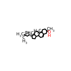 CC(C)(C)CC[C@H]1CCC2C3CC=C4C[C@@](C)(O)CC[C@]4(C)C3CC[C@@]21C